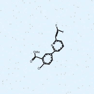 COC(=O)c1cc(-c2cccc(C=C(F)F)n2)ccc1Cl